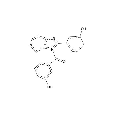 O=C(c1cccc(O)c1)n1c(-c2cccc(O)c2)nc2ccccc21